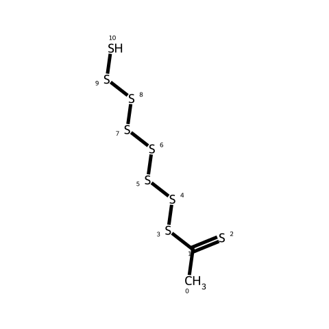 CC(=S)SSSSSSSS